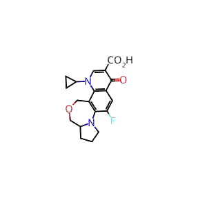 O=C(O)c1cn(C2CC2)c2c3c(c(F)cc2c1=O)N1CCCC1COC3